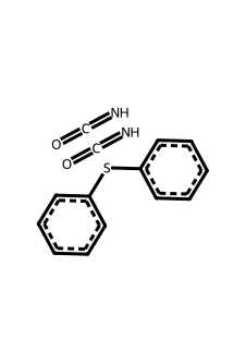 N=C=O.N=C=O.c1ccc(Sc2ccccc2)cc1